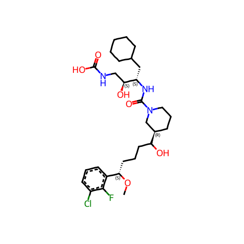 CO[C@@H](CCCC(O)[C@@H]1CCCN(C(=O)N[C@@H](CC2CCCCC2)[C@@H](O)CNC(=O)O)C1)c1cccc(Cl)c1F